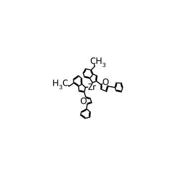 CCc1cccc2c1C=C(c1ccc(-c3ccccc3)o1)[CH]2[Zr][CH]1C(c2ccc(-c3ccccc3)o2)=Cc2c(CC)cccc21